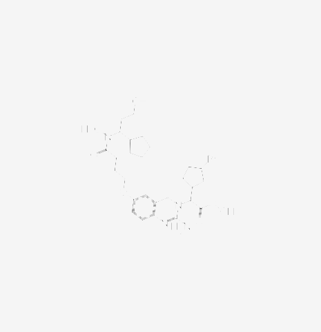 CCCC(C1CCCC1)N(C)C(=O)CCCOc1ccc2c(c1)CN(C(C(=O)OC)C1CCC(Br)C1)C(N)=N2